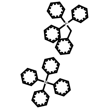 c1cc[c]([Al-]([c]2ccccc2)([c]2ccccc2)[c]2ccccc2)cc1.c1ccc(C[P+](c2ccccc2)(c2ccccc2)c2ccccc2)cc1